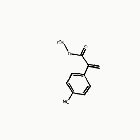 C=C(C(=O)OCCCC)c1ccc(C#N)cc1